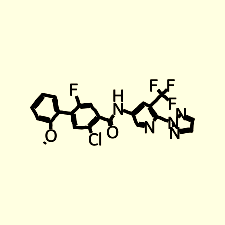 COc1ccccc1-c1cc(Cl)c(C(=O)Nc2cnc(-n3nccn3)c(C(F)(F)F)c2)cc1F